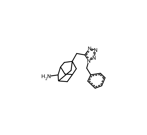 NC1C2CC3CC1CC(Cc1nnnn1Cc1ccccc1)(C3)C2